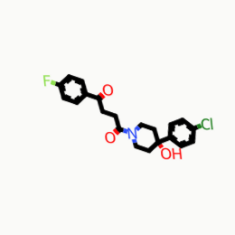 O=C(CCC(=O)N1CCC(O)(c2ccc(Cl)cc2)CC1)c1ccc(F)cc1